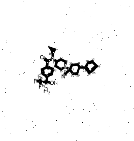 CC(O)(c1ccc(C(=O)N(C2CC2)C2CCN(C3(C#N)CCC(c4ccccc4)CC3)CC2)cc1)C(F)(F)F